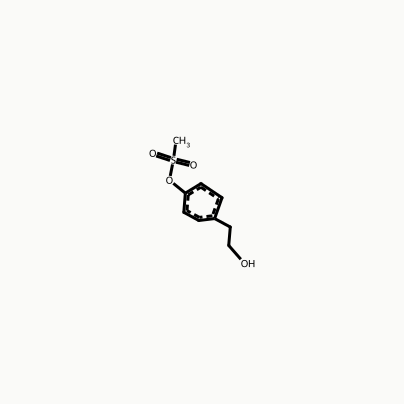 CS(=O)(=O)Oc1ccc(CCO)cc1